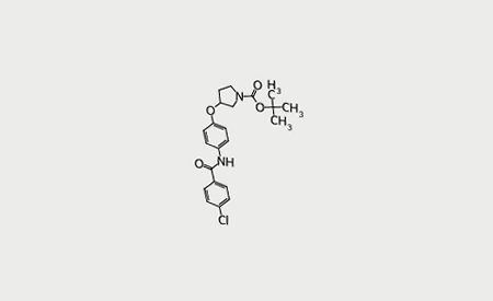 CC(C)(C)OC(=O)N1CCC(Oc2ccc(NC(=O)c3ccc(Cl)cc3)cc2)C1